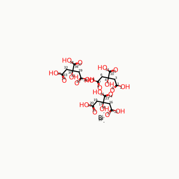 O=C(O)CC(O)(CC(=O)O)C(=O)O.O=C(O)CC(O)(CC(=O)O)C(=O)O.O=C(O)CC(O)(CC(=O)O)C(=O)O.[Bi]